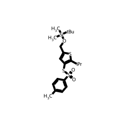 Cc1ccc(S(=O)(=O)Sc2cc(CO[Si](C)(C)C(C)(C)C)sc2C(C)C)cc1